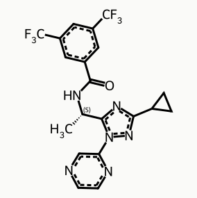 C[C@H](NC(=O)c1cc(C(F)(F)F)cc(C(F)(F)F)c1)c1nc(C2CC2)nn1-c1cnccn1